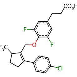 O=C(O)CCc1cc(F)c(OCC2=C(c3ccc(Cl)cc3)CCC2C(F)(F)F)c(F)c1